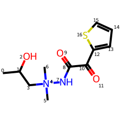 CC(O)C[N+](C)(C)NC(=O)C(=O)c1cccs1